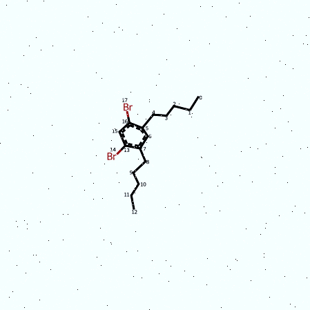 CCCCCc1cc(CCCCC)c(Br)cc1Br